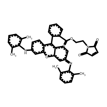 Cc1cccc(C)c1/N=c1/ccc2c(-c3ccccc3C(=O)OCCN3C(=O)C=CC3=O)c3ccc(Nc4c(C)cccc4C)cc3oc-2c1